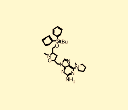 CN1OC(Cn2cnc3c([N+]4(C)CCCC4)nc(N)nc32)CC1CO[Si](c1ccccc1)(c1ccccc1)C(C)(C)C